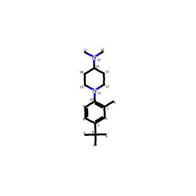 Cc1cc(C(C)(C)C)ccc1N1CCC(N(C)C)CC1